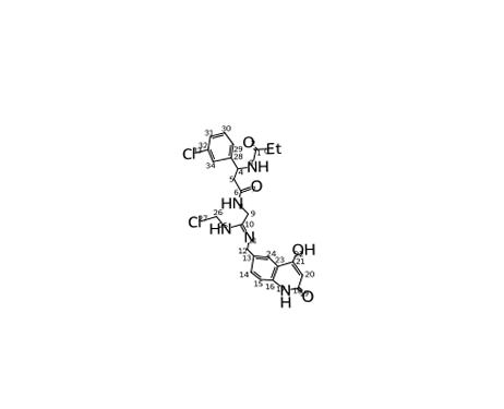 CCC(=O)NC(CC(=O)NC/C(=N/Cc1ccc2[nH]c(=O)cc(O)c2c1)NCCl)c1cccc(Cl)c1